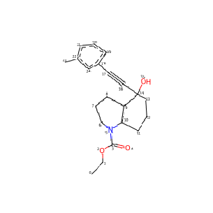 CCOC(=O)N1CCCC2C1CCCC2(O)C#Cc1cccc(C)c1